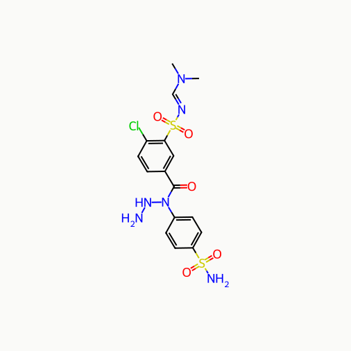 CN(C)C=NS(=O)(=O)c1cc(C(=O)N(NN)c2ccc(S(N)(=O)=O)cc2)ccc1Cl